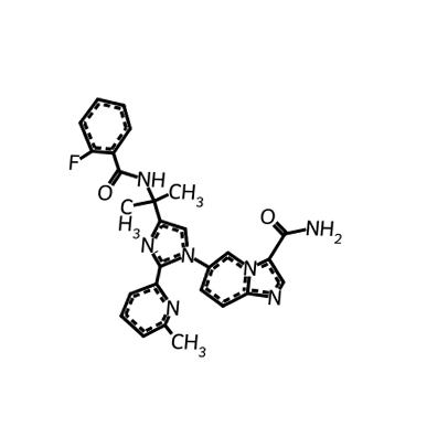 Cc1cccc(-c2nc(C(C)(C)NC(=O)c3ccccc3F)cn2-c2ccc3ncc(C(N)=O)n3c2)n1